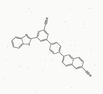 N#Cc1cc(-c2ccc(-c3ccc4cc(C#N)ccc4c3)cc2)cc(-c2nc3ccccc3s2)c1